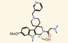 COc1ccc2c3c(n(C)c2c1)[C@@H](CO)N(C(=O)CN(C)C)CC31CCN(Cc2cccnc2)CC1